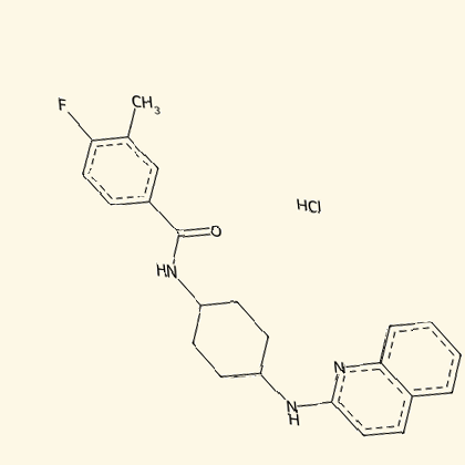 Cc1cc(C(=O)NC2CCC(Nc3ccc4ccccc4n3)CC2)ccc1F.Cl